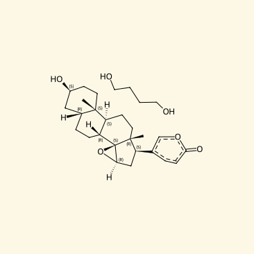 C[C@]12CC[C@H](O)C[C@H]1CC[C@@H]1[C@@H]2CC[C@]2(C)[C@@H](c3ccc(=O)oc3)C[C@H]3O[C@]132.OCCCCO